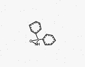 c1ccc(S2(c3ccccc3)NO2)cc1